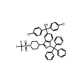 O=S(=O)(N1CCC(c2nn(C(c3ccccc3)(c3ccccc3)c3ccccc3)c3ccc(C(O)(c4ccc(Cl)cc4)c4ccc(Cl)cc4)cc23)CC1)C(F)(F)F